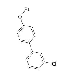 CCOc1ccc(-c2cccc(Cl)c2)cc1